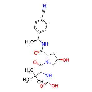 C[C@H](NC(=O)[C@@H]1C[C@@H](O)CN1C(=O)C(NC(=O)O)C(C)(C)C)c1ccc(C#N)cc1